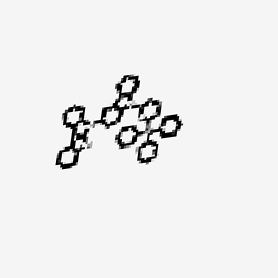 c1ccc([Si](c2ccccc2)(c2ccccc2)c2cccc(-n3c4ccccc4c4cc(-n5c6ccccc6n6c7ccccc7nc56)ccc43)n2)cc1